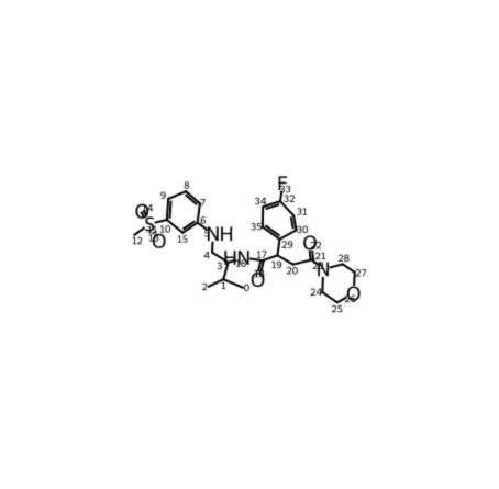 CC(C)C(CNc1cccc(S(C)(=O)=O)c1)NC(=O)C(CC(=O)N1CCOCC1)c1ccc(F)cc1